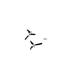 C[SiH](C)C.C[SiH](C)C.[Na]